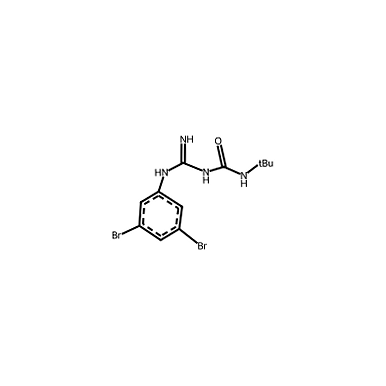 CC(C)(C)NC(=O)NC(=N)Nc1cc(Br)cc(Br)c1